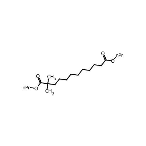 CCCOC(=O)CCCCCCCCCC(C)(C)C(=O)OCCC